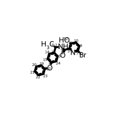 CC(NC(=O)c1nc(Br)ccc1O)c1ccc(Oc2ccccc2)cc1